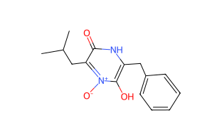 CC(C)Cc1c(=O)[nH]c(Cc2ccccc2)c(O)[n+]1[O-]